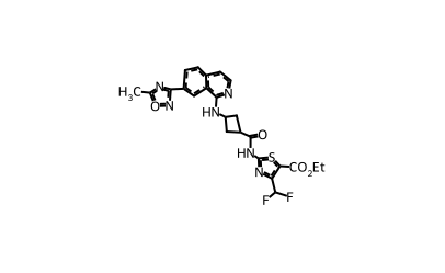 CCOC(=O)c1sc(NC(=O)C2CC(Nc3nccc4ccc(-c5noc(C)n5)cc34)C2)nc1C(F)F